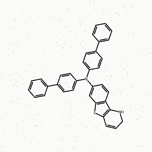 C1=Cc2sc3cc(N(c4ccc(-c5ccccc5)cc4)c4ccc(-c5ccccc5)cc4)ccc3c2NC1